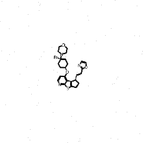 CC[C@]1(N2CCOCC2)CC[C@H](Oc2ccnc3sc4c(c23)[C@@H](CCc2ncco2)CC4)CC1